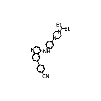 CCC(CC)N1CCN(c2ccc(Nc3ccnc4ccc(-c5ccc(C#N)cc5)cc34)cc2)CC1